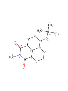 CN1C(=O)C2CCCC3C(O[Si](C)(C)C)CCC(C1=O)C23